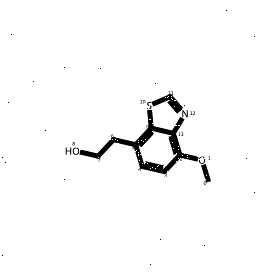 COc1ccc(CCO)c2scnc12